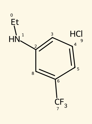 CCNc1cccc(C(F)(F)F)c1.Cl